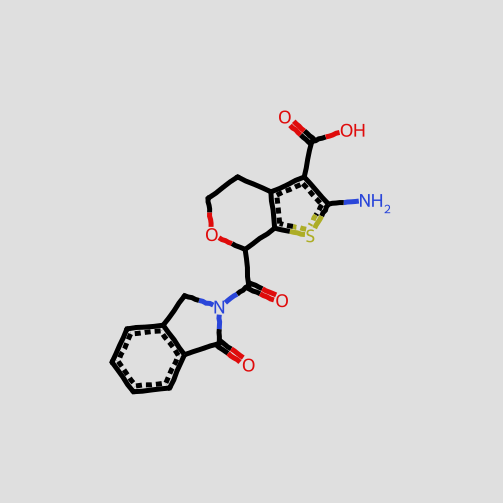 Nc1sc2c(c1C(=O)O)CCOC2C(=O)N1Cc2ccccc2C1=O